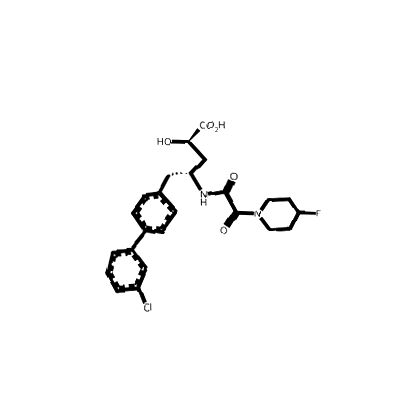 O=C(N[C@H](Cc1ccc(-c2cccc(Cl)c2)cc1)C[C@@H](O)C(=O)O)C(=O)N1CCC(F)CC1